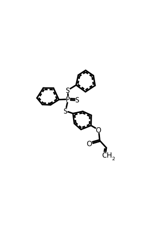 C=CC(=O)Oc1ccc(SP(=S)(Sc2ccccc2)c2ccccc2)cc1